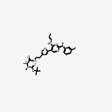 CCCNc1nc(Nc2cccc(F)c2)ncc1-c1cc(CCNC(=O)[C@H](C)N(C)C(=O)OC(C)(C)C)no1